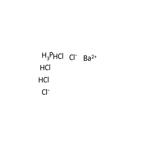 Cl.Cl.Cl.P.[Ba+2].[Cl-].[Cl-]